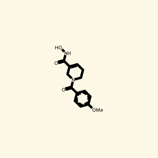 COc1ccc(C(=O)N2CCC=C(C(=O)NO)C2)cc1